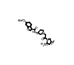 COc1ccc2c(C(=O)N[C@H]3CCN(CC(=O)N4C[C@@H](F)C[C@H]4N)C3)coc2c1